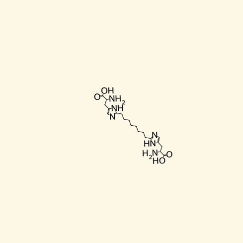 NC(Cc1cnc(CCCCCCCCc2ncc(CC(N)C(=O)O)[nH]2)[nH]1)C(=O)O